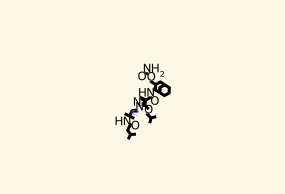 CC(C)COc1c(C(=O)N[C@H]2C3CCCC(C3)CC2COC(N)=O)cnn1/C=C/C(C)(C)NC(=O)CC(C)C